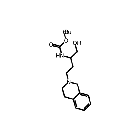 CC(C)(C)OC(=O)NC(CO)CCN1CCc2ccccc2C1